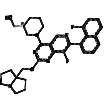 OC[C@@H]1CCCN(c2nc(OCC34CCCN3CCC4)nc3c(F)c(-c4cccc5cccc(F)c45)ncc23)C1